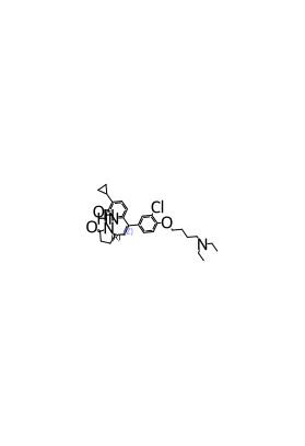 CCN(CC)CCCCOc1ccc(/C(=C/[C@H]2CCC(=O)N2)c2ccc(C3CC3)c(=O)[nH]2)cc1Cl